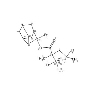 CCC(C)(CC)CC(C)(C(=O)OC1(CC)C2CC3CC(C2)C1C3)C(C)(C)CC